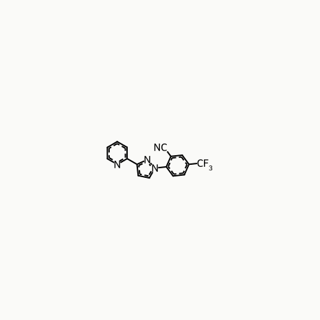 N#Cc1cc(C(F)(F)F)ccc1-n1ccc(-c2ccccn2)n1